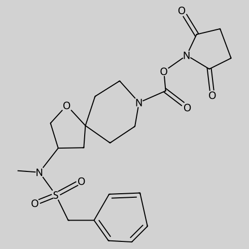 CN(C1COC2(CCN(C(=O)ON3C(=O)CCC3=O)CC2)C1)S(=O)(=O)Cc1ccccc1